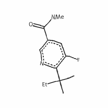 CCC(C)(C)c1ncc(C(=O)NC)cc1F